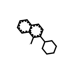 [CH2]c1c(C2CCCCC2)ccc2ccccc12